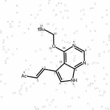 CC(=O)C=Cc1c[nH]c2ncnc(OCC(C)(C)C)c12